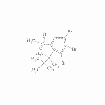 CC(C)(C)C(C)(C)c1c(S(C)(=O)=O)cc(Br)c(Br)c1Br